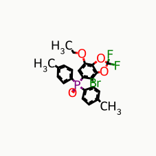 CCOc1cc(P(=O)(c2ccc(C)cc2)c2ccc(C)cc2)c(Br)c2c1OC(F)(F)O2